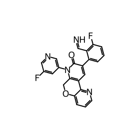 N=Cc1c(F)cccc1-c1cc2c(n(-c3cncc(F)c3)c1=O)COc1cccnc1-2